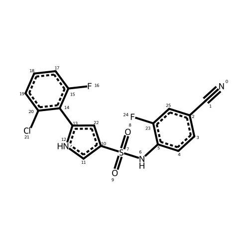 N#Cc1ccc(NS(=O)(=O)c2c[nH]c(-c3c(F)cccc3Cl)c2)c(F)c1